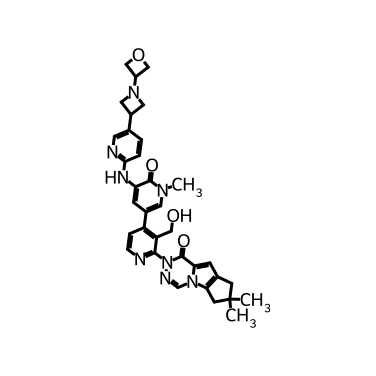 Cn1cc(-c2ccnc(-n3ncn4c5c(cc4c3=O)CC(C)(C)C5)c2CO)cc(Nc2ccc(C3CN(C4COC4)C3)cn2)c1=O